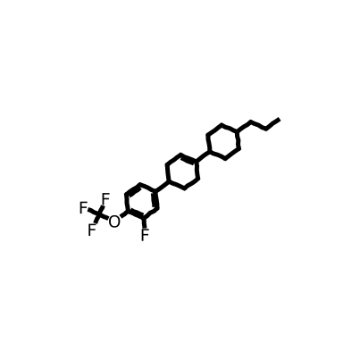 CCCC1CCC(C2=CCC(c3ccc(OC(F)(F)F)c(F)c3)CC2)CC1